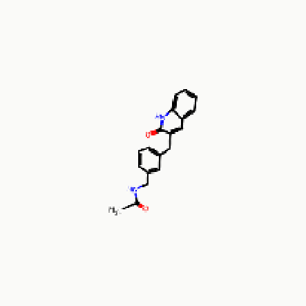 CC(=O)NCc1cccc(Cc2cc3ccccc3[nH]c2=O)c1